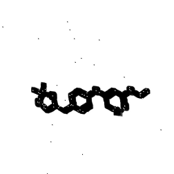 CCOC(=O)/C=C(\CBr)Oc1ccc(C[C@H]2COC(C)(C)O2)cc1